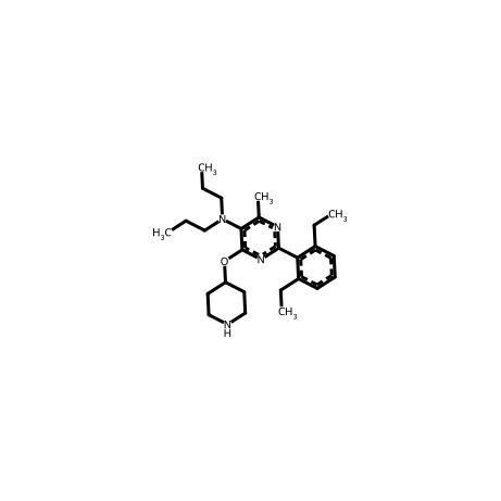 CCCN(CCC)c1c(C)nc(-c2c(CC)cccc2CC)nc1OC1CCNCC1